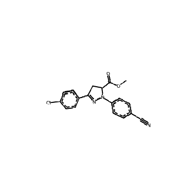 COC(=O)C1CC(c2ccc(Cl)cc2)=NN1c1ccc(C#N)cc1